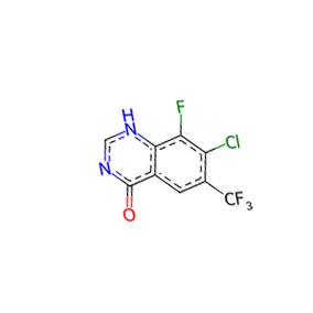 O=c1nc[nH]c2c(F)c(Cl)c(C(F)(F)F)cc12